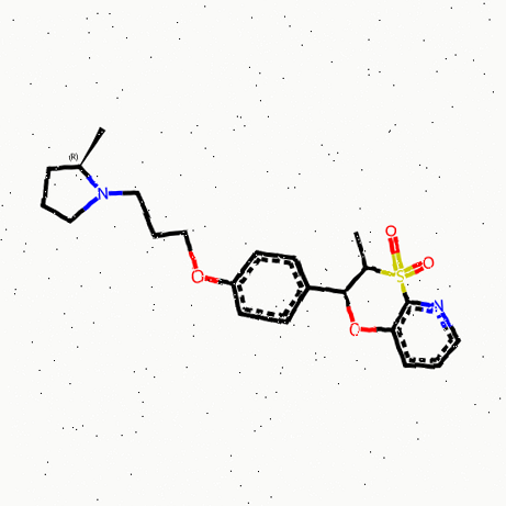 CC1C(c2ccc(OCCCN3CCC[C@H]3C)cc2)Oc2cccnc2S1(=O)=O